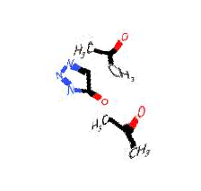 CC(C)=O.CC(C)=O.O=C1C=NN=N1